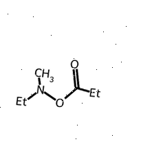 CCC(=O)ON(C)CC